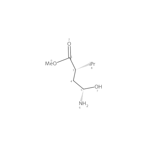 COC(=O)[C@@H](C[C@@H](N)O)C(C)C